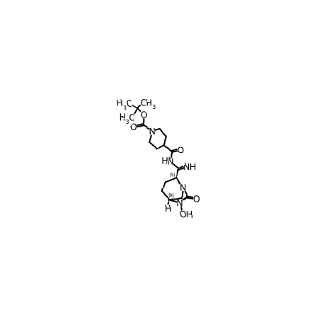 CC(C)(C)OC(=O)N1CCC(C(=O)NC(=N)[C@@H]2CC[C@@H]3CN2C(=O)N3O)CC1